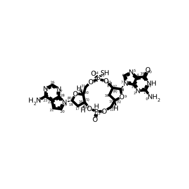 Nc1nc2c(ncn2[C@@H]2O[C@@H]3CO[PH](=O)O[C@H]4C[C@H](n5ccc6c(N)ncnc65)O[C@@H]4COP(=O)(S)O[C@@H]2C3)c(=O)[nH]1